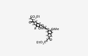 CCOC(=O)CCC(=O)N1Cc2cc(OC)c(OCCCOc3cc4c(c(F)c3OC)CN(C(=O)CCC(=O)OCC)C4)cc2C1